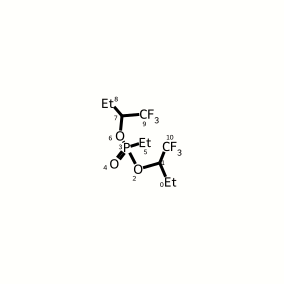 CCC(OP(=O)(CC)OC(CC)C(F)(F)F)C(F)(F)F